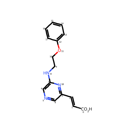 O=C(O)C=Cc1cncc(NCCOc2ccccc2)n1